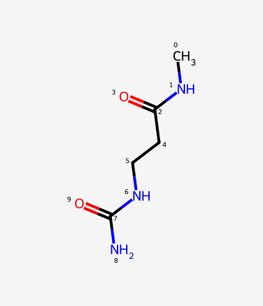 CNC(=O)CCNC(N)=O